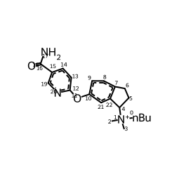 CCCC[N+](C)(C)C1CCc2ccc(Oc3ccc(C(N)=O)cn3)cc21